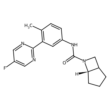 Cc1ccc(NC(=O)N2CC3CCC[C@@H]32)cc1-c1ncc(F)cn1